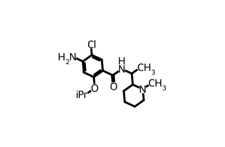 CC(C)Oc1cc(N)c(Cl)cc1C(=O)NC(C)C1CCCCN1C